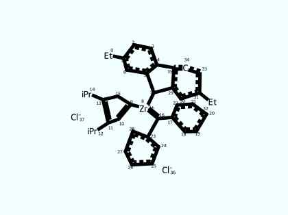 CCc1ccc2c(c1)[CH]([Zr+2]([C]1=CC(C(C)C)=C(C(C)C)C1)=[C](c1ccccc1)c1ccccc1)c1cc(CC)ccc1-2.[Cl-].[Cl-]